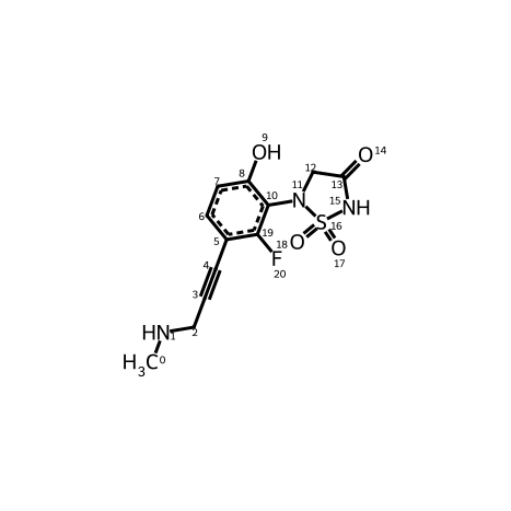 CNCC#Cc1ccc(O)c(N2CC(=O)NS2(=O)=O)c1F